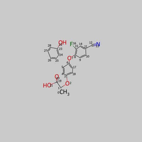 C[C@@H](Oc1ccc(Oc2ccc(C#N)cc2F)cc1)C(=O)O.Oc1ccccc1